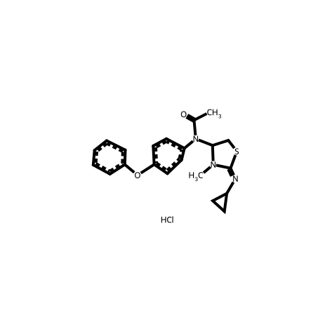 CC(=O)N(c1ccc(Oc2ccccc2)cc1)C1CSC(=NC2CC2)N1C.Cl